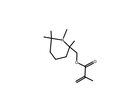 C=C(C)C(=O)OCC1(C)CCCC(C)(C)N1C